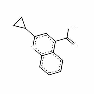 COC(=O)c1cc(C2CC2)nc2ccccc12